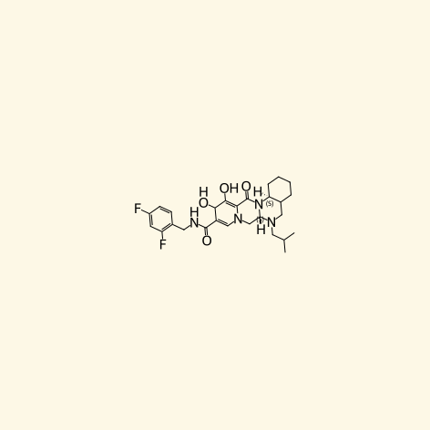 CC(C)CN1CC2CCCC[C@@H]2N2C(=O)C3=C(O)C(O)C(C(=O)NCc4ccc(F)cc4F)=CN3C[C@@H]12